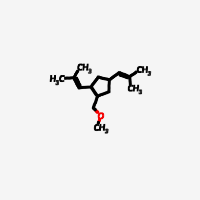 COCC1CC(C=C(C)C)CC1C=C(C)C